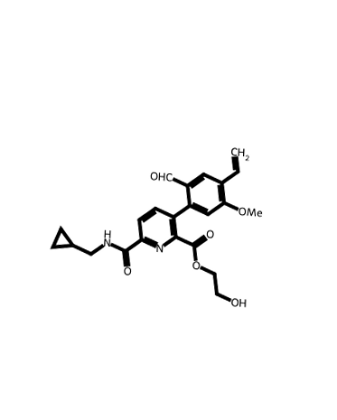 C=Cc1cc(C=O)c(-c2ccc(C(=O)NCC3CC3)nc2C(=O)OCCO)cc1OC